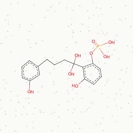 O=P(O)(O)Oc1cccc(O)c1C(O)(O)CCCc1cccc(O)c1